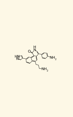 NCCCc1cc2c(-c3ccc(N)cc3)c[nH]c(=O)c2c2cc(-c3cn[nH]c3)ccc12